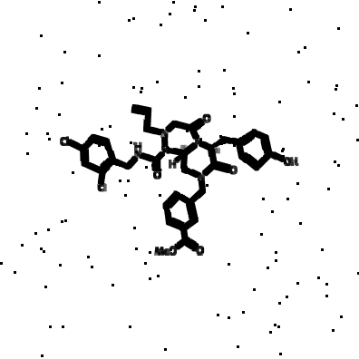 C=CCN1CC(=O)N2[C@@H](Cc3ccc(O)cc3)C(=O)N(Cc3cccc(C(=O)OC)c3)C[C@@H]2N1C(=O)NCc1ccc(Cl)cc1Cl